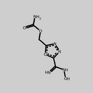 N=C(NO)c1nnc(COC(N)=O)o1